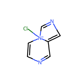 Cl[N+]12C=CN=CC1=CN=C2